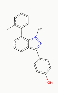 Cc1ccccc1-c1cccc2c(-c3ccc(O)cc3)nn(C(C)C)c12